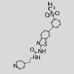 CS(=O)(=O)c1cccc(-c2ccc3nc(NC(=O)NCCc4ccncc4)sc3c2)c1